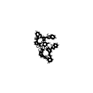 Cc1cc2c3c(c1)N1c4cc(cc(-c5cc6ccccc6s5)c4)C4=Cc5ccccc5[SH]4C(C)(C)c4ccc5oc(c1c5c4)B3c1oc3ccc4cc3c1N2c1cc(cc(-c2cc3ccccc3s2)c1)C1=Cc2ccccc2[SH]1C4(C)C